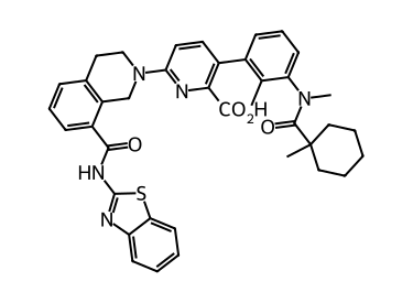 Cc1c(-c2ccc(N3CCc4cccc(C(=O)Nc5nc6ccccc6s5)c4C3)nc2C(=O)O)cccc1N(C)C(=O)C1(C)CCCCC1